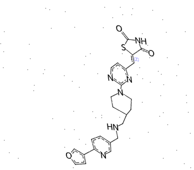 O=C1NC(=O)/C(=C/c2ccnc(N3CCC(CNCc4ccc(-c5ccoc5)nc4)CC3)n2)S1